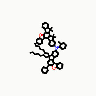 CCCCCCCC1(CCCCCCC)c2cc(N(c3ccc4c(c3)C(C)(C)c3c5c(c6oc7ccccc7c6c3-4)-c3ccccc3C5(C)C)c3ccccc3C)ccc2-c2c1cc(-c1ccccc1)c1oc3ccccc3c21